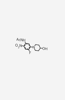 CC(=O)Nc1cc(N2CCC(O)CC2)c(F)cc1[N+](=O)[O-]